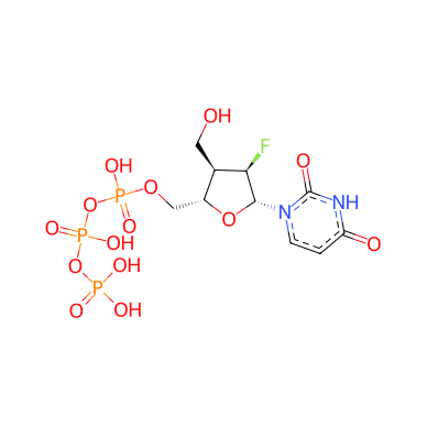 O=c1ccn([C@@H]2O[C@H](COP(=O)(O)OP(=O)(O)OP(=O)(O)O)[C@@H](CO)[C@H]2F)c(=O)[nH]1